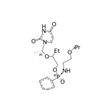 CCC(CO[P@@](=O)(NCCOC(C)C)c1ccccc1)O[C@H](C)n1ccc(=O)[nH]c1=O